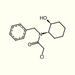 O=C(CCl)N(Cc1ccccc1)[C@@H]1CCCC[C@@H]1O